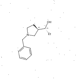 CC[C@@H](O)[C@@H]1CCN(Cc2ccccc2)C1